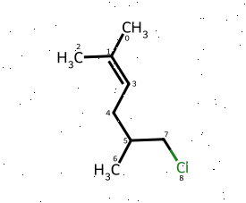 CC(C)=CCC(C)CCl